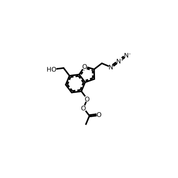 CC(=O)OOc1ccc(CO)c2oc(CN=[N+]=[N-])cc12